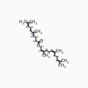 CC(C)=CCCC(C)=CCCC(C)=CCOC(=O)CC/C=C(\C)CCC=C(C)C